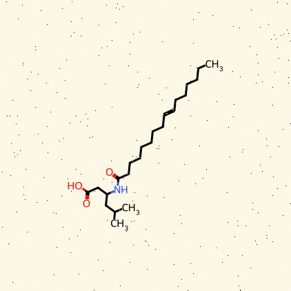 CCCCCC/C=C/CCCCCCCC(=O)NC(CC(=O)O)CC(C)C